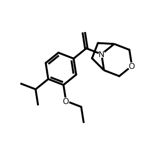 C=C(c1ccc(C(C)C)c(OCC)c1)N1C2CCC1COC2